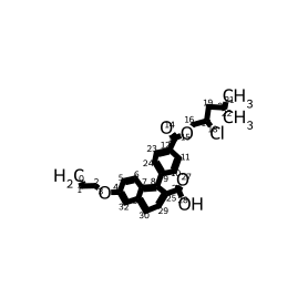 C=CCOc1ccc2c(-c3ccc(C(=O)OCC(Cl)CC(C)C)cc3)c(C(=O)O)ccc2c1